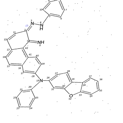 N=C1/C(=N\Nc2ccccc2)C=Cc2ccc3cc(N(c4ccccc4)c4ccc5c(c4)oc4ccccc45)ccc3c21